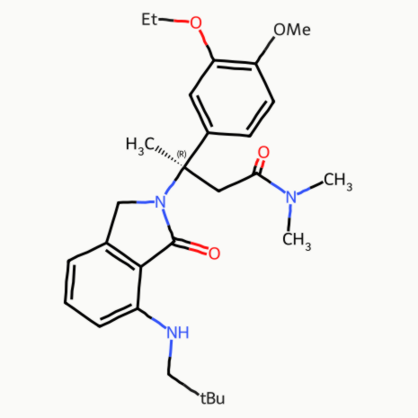 CCOc1cc([C@@](C)(CC(=O)N(C)C)N2Cc3cccc(NCC(C)(C)C)c3C2=O)ccc1OC